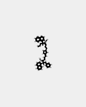 CCCC1(C)/C(=C\C=C\C2=CC(=C/C=C/C3=[N+](C)c4ccc5ccccc5c4C3(C)Cc3ccccc3)/CC2)N(C)c2ccc3ccccc3c21